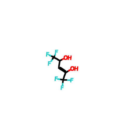 O/C(=C\C(O)C(F)(F)F)C(F)(F)F